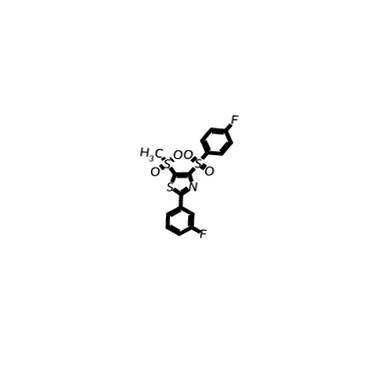 CS(=O)(=O)c1sc(-c2cccc(F)c2)nc1S(=O)(=O)c1ccc(F)cc1